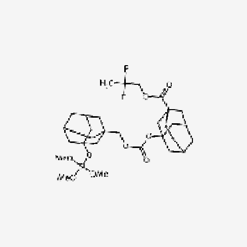 CO[Si](OC)(OC)OC12CC3CC(CC(COC(=O)OC45CC6CC(C4)CC(C(=O)OCC(C)(F)F)(C6)C5)(C3)C1)C2